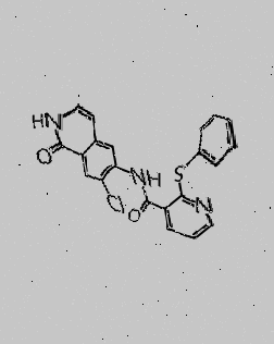 O=C(Nc1cc2cc[nH]c(=O)c2cc1Cl)c1cccnc1Sc1ccccc1